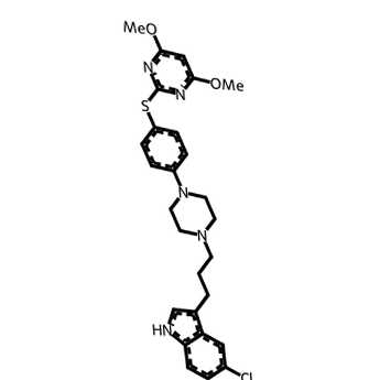 COc1cc(OC)nc(Sc2ccc(N3CCN(CCCc4c[nH]c5ccc(Cl)cc45)CC3)cc2)n1